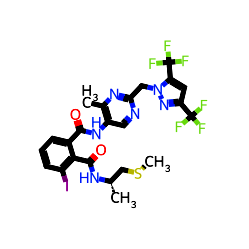 CSC[C@H](C)NC(=O)c1c(I)cccc1C(=O)Nc1cnc(Cn2nc(C(F)(F)F)cc2C(F)(F)F)nc1C